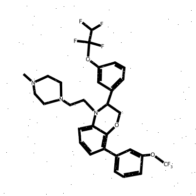 CN1CCN(CCN2c3cccc(-c4cccc(OC(F)(F)F)c4)c3OCC2c2cccc(OC(F)(F)C(F)F)c2)CC1